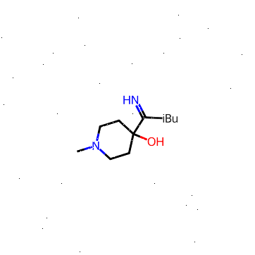 CCC(C)C(=N)C1(O)CCN(C)CC1